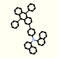 c1ccc(-c2c3ccccc3c(-c3ccccc3)c3cc(-c4ccc(N(c5cccc6ccccc56)c5cccc6ccccc56)cc4)ccc23)cc1